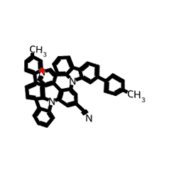 Cc1ccc(-c2ccc3c4ccccc4n(-c4cc(C#N)cc(-n5c6ccccc6c6ccc(-c7ccc(C)cc7)cc65)c4-c4ccncc4)c3c2)cc1